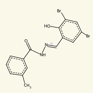 Cc1cccc(C(=O)N/N=C/c2cc(Br)cc(Br)c2O)c1